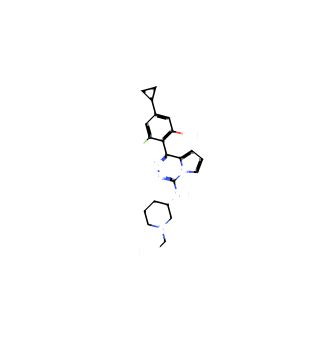 CCN1C[C@H](F)C[C@@H](Nc2nnc(-c3c(O)cc(C4CC4)cc3F)c3cccn23)C1